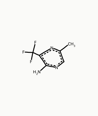 Cc1cnc(N)c(C(F)(F)F)n1